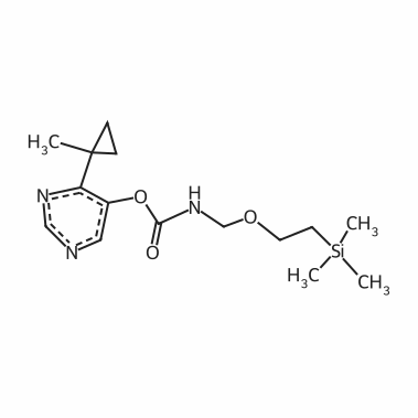 CC1(c2ncncc2OC(=O)NCOCC[Si](C)(C)C)CC1